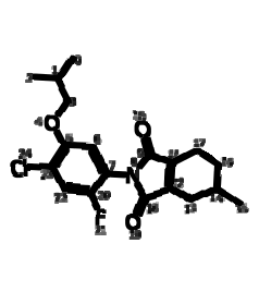 CC(C)COc1cc(N2C(=O)C3=C(CC(C)CC3)C2=O)c(F)cc1Cl